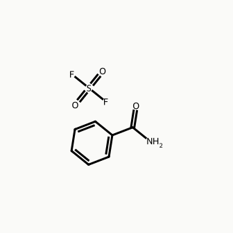 NC(=O)c1ccccc1.O=S(=O)(F)F